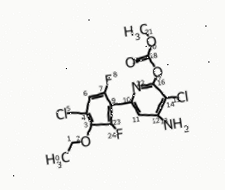 CCOc1c(Cl)cc(F)c(-c2cc(N)c(Cl)c(OC(=O)OC)n2)c1F